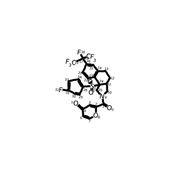 O=C(c1cc(=O)cco1)N1CC2CCc3cc(C(F)(C(F)(F)F)C(F)(F)F)ccc3C2(S(=O)(=O)c2ccc(F)cc2)C1